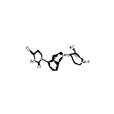 O=C1CCN(c2cccc3c2ccn3[C@@H]2CCNC[C@@H]2F)C(=O)N1